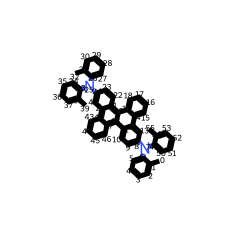 Cc1ccccc1N(c1ccc2c(c1)c1ccccc1c1c3ccc(N(c4ccccc4C)c4ccccc4C)cc3c3ccccc3c21)c1ccccc1C